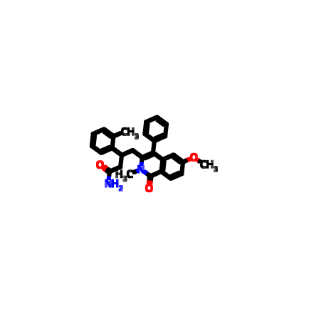 COc1ccc2c(=O)n(C)c(CC(CC(N)=O)c3ccccc3C)c(-c3ccccc3)c2c1